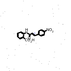 O=C(/C=C/c1ccc([N+](=O)[O-])cc1)Nc1ccccc1C(=O)O